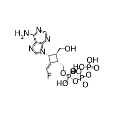 Nc1ncnc2c1ncn2[C@H]1/C(=C/F)[C@@H](COP(=O)(O)OP(=O)(O)OP(=O)(O)O)[C@@H]1CO